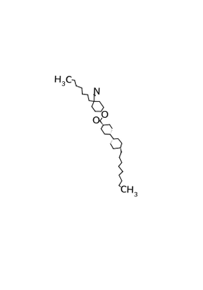 CCCCCCCCC[C@H]1CC[C@H]([C@H]2CC[C@H](C(=O)OC3CCC(C#N)(CCCCCCC)CC3)CC2)CC1